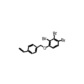 C=Cc1ccc(COc2ccc(Br)c(Br)c2Br)cc1